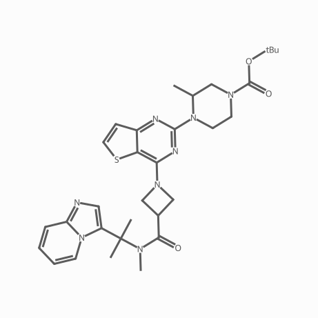 CC1CN(C(=O)OC(C)(C)C)CCN1c1nc(N2CC(C(=O)N(C)C(C)(C)c3cnc4ccccn34)C2)c2sccc2n1